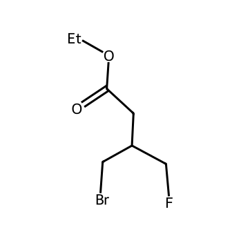 CCOC(=O)CC(CF)CBr